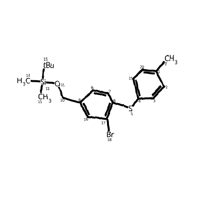 Cc1ccc(Sc2ccc(CO[Si](C)(C)C(C)(C)C)cc2Br)cc1